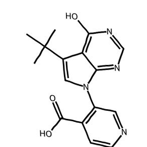 CC(C)(C)c1cn(-c2cnccc2C(=O)O)c2ncnc(O)c12